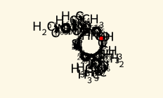 C=CC(=O)N1CCN(C(=O)N(C)[C@H](C(=O)N[C@H]2Cc3nc(cs3)-c3ccc4c(c3)c(c(/C(C=C)=C(/N=C\C)[C@H](C)OC)n4CC)CC(C)(C)COC(=O)[C@@]3(O)CCCN(N3)C2=O)C(C)C)CC1